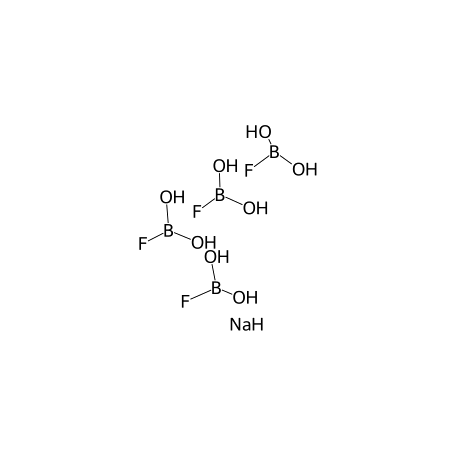 OB(O)F.OB(O)F.OB(O)F.OB(O)F.[NaH]